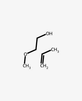 C=CC.COCCO